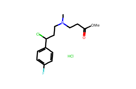 COC(=O)CCN(C)CCC(Cl)c1ccc(F)cc1.Cl